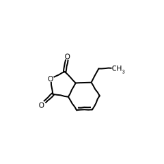 CCC1CC=CC2C(=O)OC(=O)C12